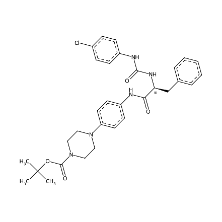 CC(C)(C)OC(=O)N1CCN(c2ccc(NC(=O)[C@H](Cc3ccccc3)NC(=O)Nc3ccc(Cl)cc3)cc2)CC1